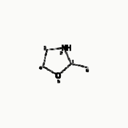 CC1N[CH]CO1